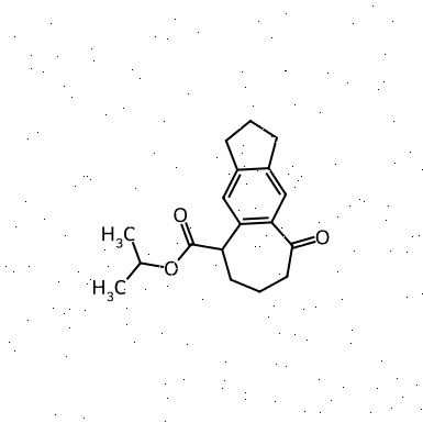 CC(C)OC(=O)C1CCCC(=O)c2cc3c(cc21)CCC3